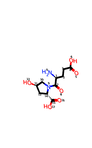 N[C@@H](CCC(=O)O)C(=O)N1C[C@H](O)C[C@H]1C(=O)O